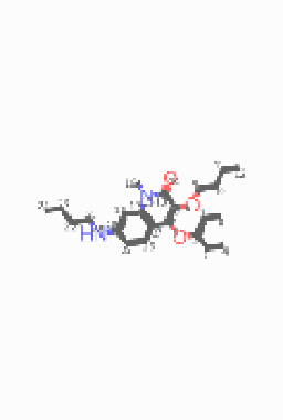 CC=C(CC)Oc1c(OCCCC)c(=O)n(C)c2cc(NCCCC)ccc12